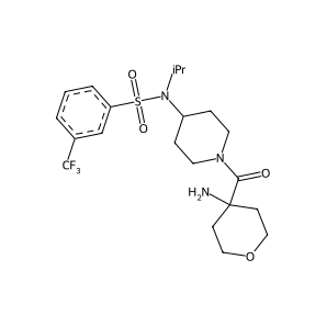 CC(C)N(C1CCN(C(=O)C2(N)CCOCC2)CC1)S(=O)(=O)c1cccc(C(F)(F)F)c1